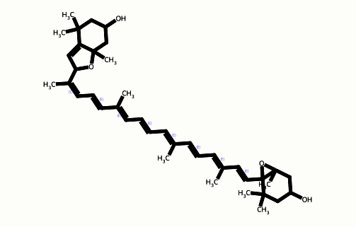 C/C(=C/C=C/C(C)=C/C=C/C=C(C)/C=C/C=C(C)/C=C/C12OC1(C)CC(O)CC2(C)C)C1C=C2C(C)(C)CC(O)CC2(C)O1